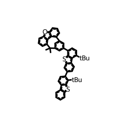 CC(C)(C)c1c(-c2ccc3c(c2)sc2c(-c4cc5cc(c4)C(C)(C)c4cccc6oc7cccc-5c7c46)ccc(C(C)(C)C)c23)ccc2c1sc1ccccc12